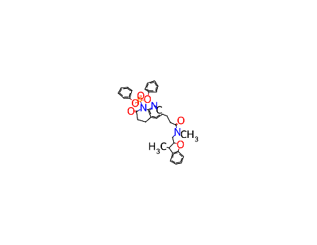 CC1c2ccccc2OC1CN(C)C(=O)CCc1cnc2c(c1)CCC(=O)N2P(=O)(Oc1ccccc1)Oc1ccccc1